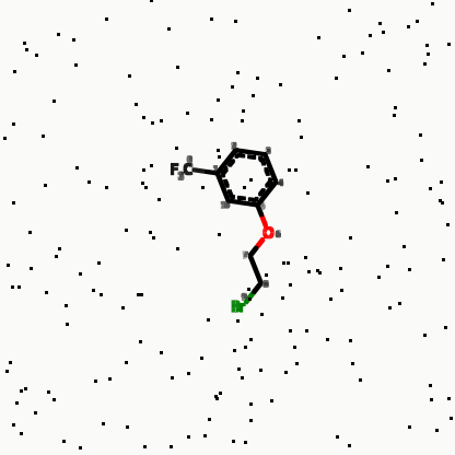 FC(F)(F)c1cccc(OCCBr)c1